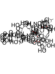 CN[C@H](CC(C)C)C(=O)N[C@H]1C(=O)N[C@@H](CC(N)=O)C(=O)N[C@H]2C(=O)N[C@H]3C(=O)N[C@H](C(=O)N[C@H](C(=O)OCOC(=O)NCCC(O)(P(=O)(O)O)P(=O)(O)O)c4cc(O)cc(O)c4-c4cc3ccc4O)[C@H](O[C@H]3C[C@](C)(N)[C@@H](O)[C@H](C)O3)c3ccc(c(Cl)c3)Oc3cc2cc(c3O[C@@H]2O[C@H](CO)[C@@H](O)[C@H](O)[C@H]2O[C@H]2C[C@](C)(NCc3ccc(-c4ccc(Cl)cc4)cc3)[C@@H](O)[C@H](C)O2)Oc2ccc(cc2Cl)[C@H]1O